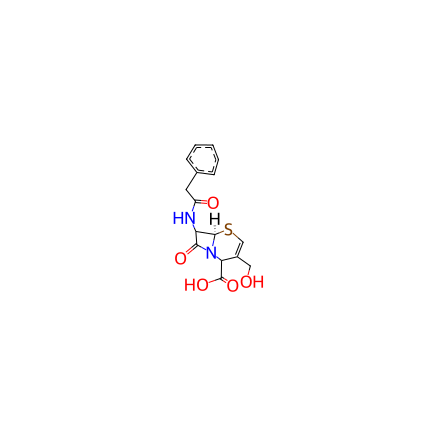 O=C(Cc1ccccc1)NC1C(=O)N2C(C(=O)O)C(CO)=CS[C@H]12